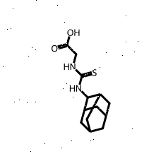 O=C(O)CNC(=S)NC1C2CC3CC(C2)CC1C3